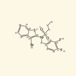 CCCS(=O)(=O)N(Cc1ccc(F)c(F)c1)c1sc2ccccc2c1Br